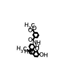 COC(=O)c1cccc(C(=O)N[C@@H]2C=CC3[C@H]4Cc5ccc(O)c6c5[C@@]3(CCN4C)[C@H]2O6)c1